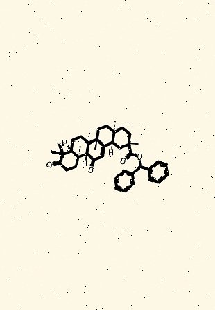 CC1(C)C(=O)CC[C@]2(C)[C@H]3C(=O)C=C4[C@@H]5C[C@@](C)(C(=O)OC(c6ccccc6)c6ccccc6)CC[C@]5(C)CC[C@@]4(C)[C@]3(C)CC[C@@H]12